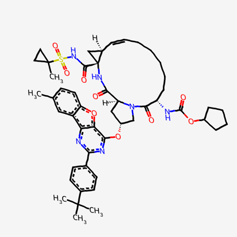 Cc1ccc2oc3c(O[C@@H]4C[C@H]5C(=O)N[C@]6(C(=O)NS(=O)(=O)C7(C)CC7)C[C@H]6/C=C\CCCCC[C@H](NC(=O)OC6CCCC6)C(=O)N5C4)nc(-c4ccc(C(C)(C)C)cc4)nc3c2c1